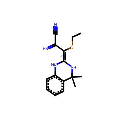 CCS/C(C(=N)C#N)=C1/Nc2ccccc2C(C)(C)N1